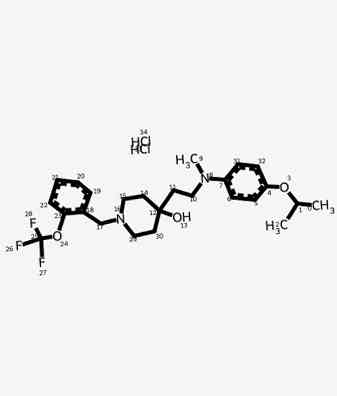 CC(C)Oc1ccc(N(C)CCC2(O)CCN(Cc3ccccc3OC(F)(F)F)CC2)cc1.Cl.Cl